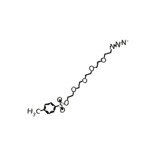 Cc1ccc(S(=O)(=O)OCCOCCOCCOCCOCCN=[N+]=[N-])cc1